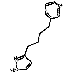 c1cncc(CCCCc2cc[nH]n2)c1